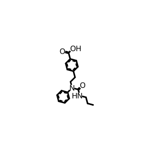 CCCNC(=O)N(CCc1ccc(C(=O)O)cc1)c1ccccc1